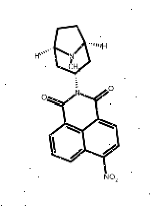 CN1[C@@H]2CC[C@H]1C[C@H](N1C(=O)c3cccc4c([N+](=O)[O-])ccc(c34)C1=O)C2